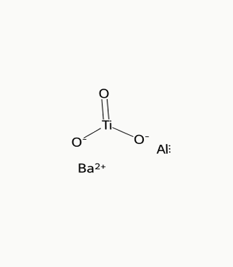 [Al].[Ba+2].[O]=[Ti]([O-])[O-]